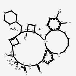 CO[C@@]1(CN2CCOCC2)C2=C[C@@H](C2)[C@H](C)[C@@H](C)S(=O)(=O)NC(=O)c2ccc3c(c2)N(Cc2ccc(Cl)c(F)c2CCCCO3)C[C@@H]2CC[C@H]21